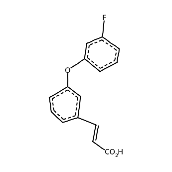 O=C(O)C=Cc1cccc(Oc2cccc(F)c2)c1